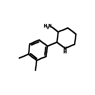 Cc1ccc(C2NCCCC2N)cc1C